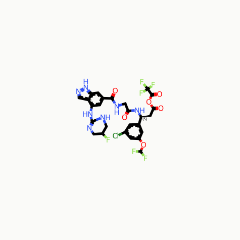 O=C(CNC(=O)c1cc(NC2=NCC(F)CN2)c2cn[nH]c2c1)N[C@@H](CC(=O)OC(=O)C(F)(F)F)c1cc(Cl)cc(OC(F)F)c1